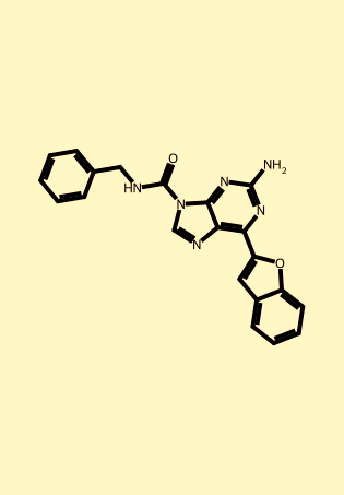 Nc1nc(-c2cc3ccccc3o2)c2ncn(C(=O)NCc3ccccc3)c2n1